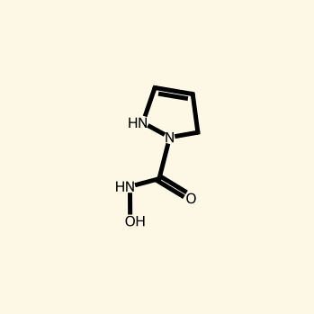 O=C(NO)N1CC=CN1